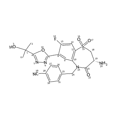 CC(C)(O)c1nnc(-c2cc3c(cc2F)S(=O)(=O)C[C@H](N)C(=O)N3Cc2ccc(C#N)cc2)o1